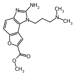 COC(=O)c1cc2c(ccc3nc(N)n(CCCN(C)C)c32)o1